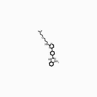 CN(C)CCOCCCNc1nccc(-c2ccc(C(=O)Nc3ccccc3N)cc2)n1